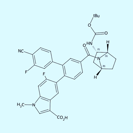 Cn1cc(C(=O)O)c2cc(-c3ccc(C(=O)N4[C@@H]5CC[C@H]4[C@@H](NC(=O)OC(C)(C)C)C5)cc3-c3ccc(C#N)c(F)c3)c(F)cc21